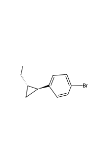 CC[C@H]1C[C@@H]1c1ccc(Br)cc1